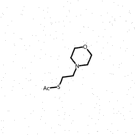 CC(=O)SCCN1CCOCC1